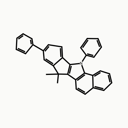 CC1(C)c2cc(-c3ccccc3)ccc2-c2c1c1ccc3ccccc3c1n2-c1ccccc1